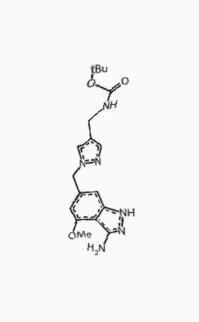 COc1cc(Cn2cc(CNC(=O)OC(C)(C)C)cn2)cc2[nH]nc(N)c12